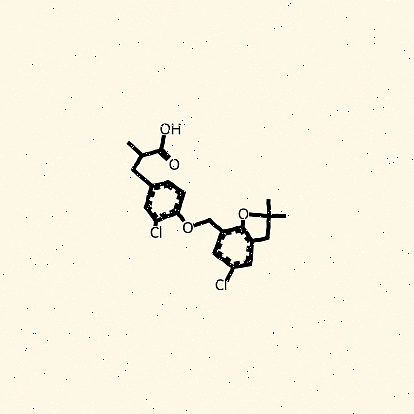 CC(Cc1ccc(OCc2cc(Cl)cc3c2OC(C)(C)C3)c(Cl)c1)C(=O)O